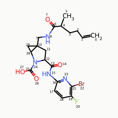 C=CCCC(C)C(=O)NCC12CC(C(=O)Nc3ccc(F)c(Br)n3)N(C(=O)O)C1C2